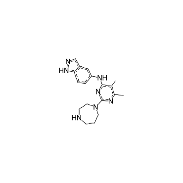 Cc1nc(N2CCCNCC2)nc(Nc2ccc3[nH]ncc3c2)c1C